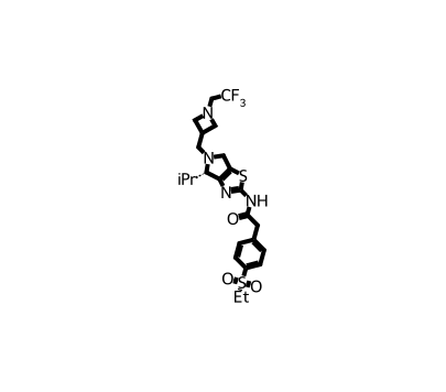 CCS(=O)(=O)c1ccc(CC(=O)Nc2nc3c(s2)CN(CC2CN(CC(F)(F)F)C2)[C@H]3C(C)C)cc1